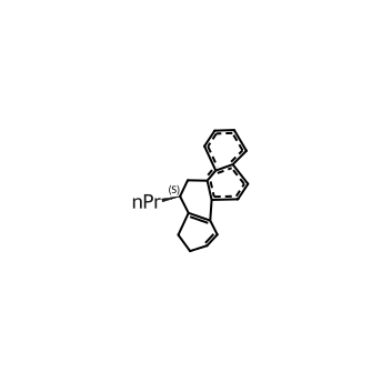 [CH2]CC[C@H]1Cc2c(ccc3ccccc23)C2=C1CCC=C2